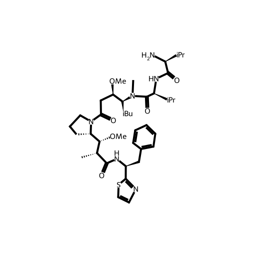 CC[C@H](C)[C@@H]([C@@H](CC(=O)N1CCC[C@H]1[C@H](OC)[C@@H](C)C(=O)N[C@@H](Cc1ccccc1)c1nccs1)OC)N(C)C(=O)[C@@H](NC(=O)[C@@H](N)C(C)C)C(C)C